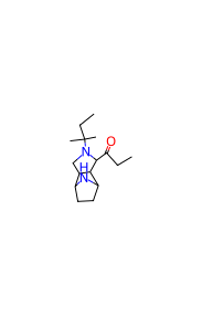 CCC(=O)C1C2C3CCC(N3)C2CN1C(C)(C)CC